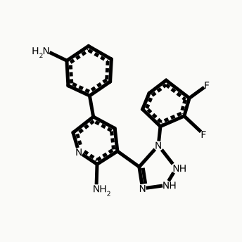 Nc1cccc(-c2cnc(N)c(C3=NNNN3c3cccc(F)c3F)c2)c1